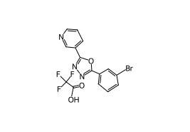 Brc1cccc(-c2nnc(-c3cccnc3)o2)c1.O=C(O)C(F)(F)F